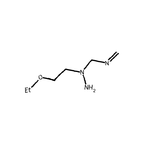 C=NCN(N)CCOCC